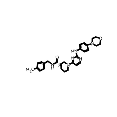 Cc1ccc(CNC(=O)[C@H]2CCCN(c3ccnc(Nc4ccc(N5CCOCC5)cc4)n3)C2)cc1